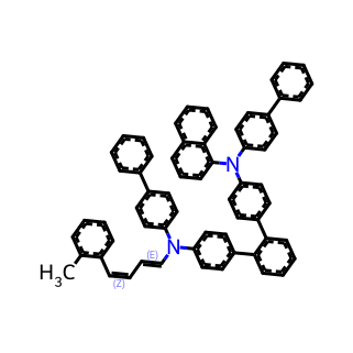 Cc1ccccc1/C=C\C=C\N(c1ccc(-c2ccccc2)cc1)c1ccc(-c2ccccc2-c2ccc(N(c3ccc(-c4ccccc4)cc3)c3cccc4ccccc34)cc2)cc1